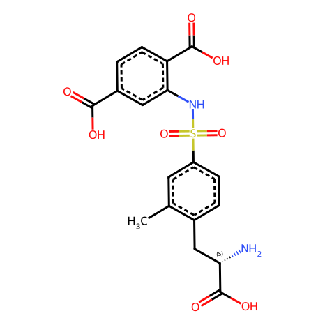 Cc1cc(S(=O)(=O)Nc2cc(C(=O)O)ccc2C(=O)O)ccc1C[C@H](N)C(=O)O